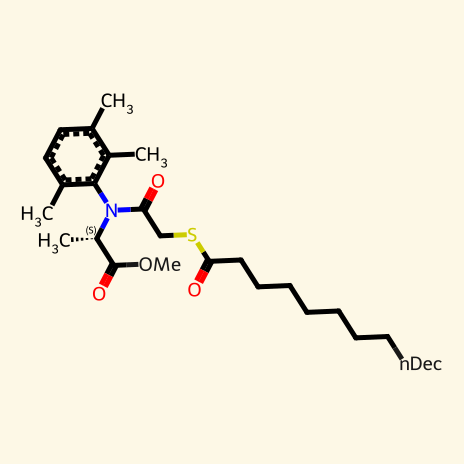 CCCCCCCCCCCCCCCCCC(=O)SCC(=O)N(c1c(C)ccc(C)c1C)[C@@H](C)C(=O)OC